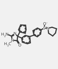 CN1C(=O)C(c2ccccc2)(c2cccc(-c3ccc([S+]([O-])N4CCCCC4)cc3)c2)N=C1N